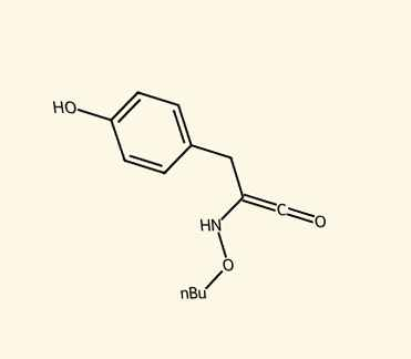 CCCCONC(=C=O)Cc1ccc(O)cc1